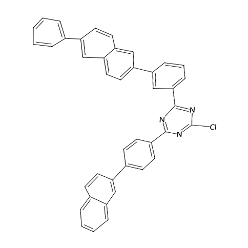 Clc1nc(-c2ccc(-c3ccc4ccccc4c3)cc2)nc(-c2cccc(-c3ccc4cc(-c5ccccc5)ccc4c3)c2)n1